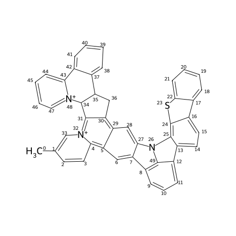 Cc1ccc2c3cc4c5cccc6c7ccc8c9ccccc9sc8c7n(c4cc3c3c([n+]2c1)C1C(C3)c2ccccc2-c2cccc[n+]21)c56